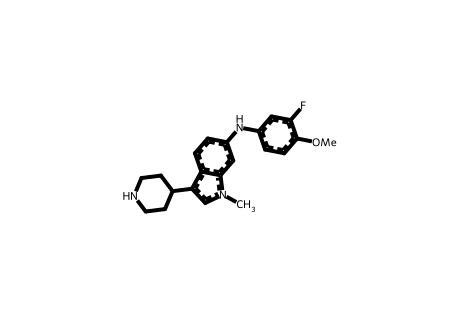 COc1ccc(Nc2ccc3c(C4CCNCC4)cn(C)c3c2)cc1F